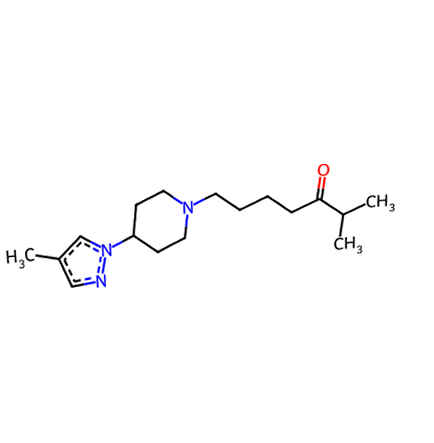 Cc1cnn(C2CCN(CCCCC(=O)C(C)C)CC2)c1